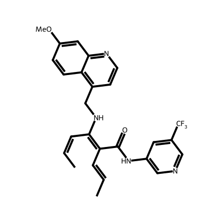 C\C=C/C(NCc1ccnc2cc(OC)ccc12)=C(\C=C\C)C(=O)Nc1cncc(C(F)(F)F)c1